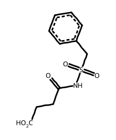 O=C(O)CCC(=O)NS(=O)(=O)Cc1ccccc1